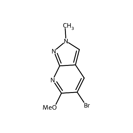 COc1nc2nn(C)cc2cc1Br